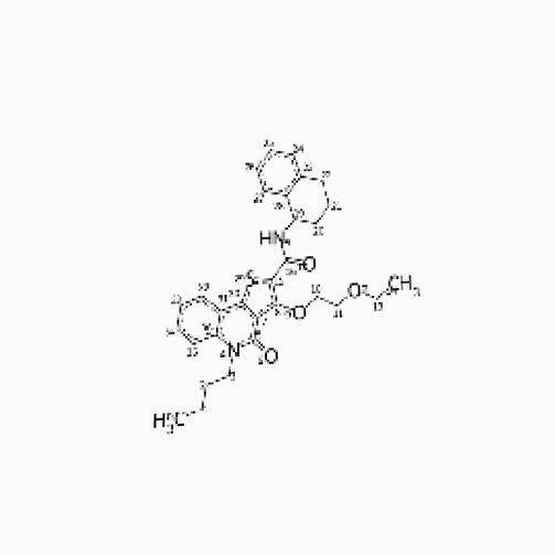 CCCCn1c(=O)c2c(OCCOCC)c(C(=O)NC3CCCc4ccccc43)sc2c2ccccc21